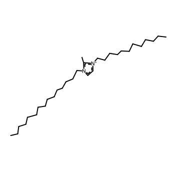 CCCCCCCCCCCCCCCn1cc[n+](CCCCCCCCCCCC)c1C